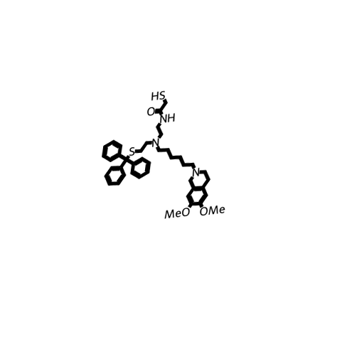 COc1cc2c(cc1OC)CN(CCCCCCN(CCNC(=O)CS)CCSC(c1ccccc1)(c1ccccc1)c1ccccc1)CC2